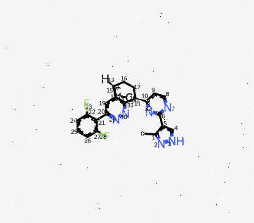 Cc1n[nH]cc1-c1nccc([C@@]23CCC[C@@H](CC2)c2cc(-c4c(F)cccc4F)nnc23)n1